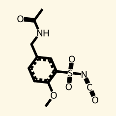 COc1ccc(CNC(C)=O)cc1S(=O)(=O)N=C=O